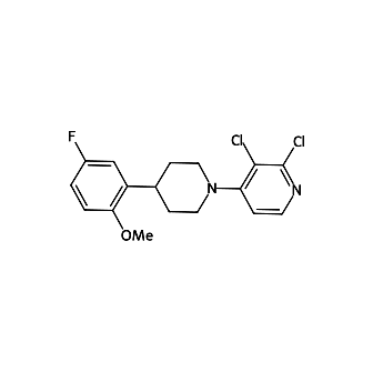 COc1ccc(F)cc1C1CCN(c2ccnc(Cl)c2Cl)CC1